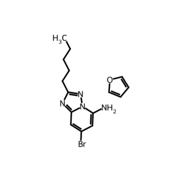 CCCCCc1nc2cc(Br)cc(N)n2n1.c1ccoc1